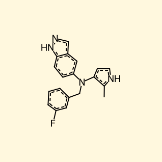 Cc1[nH]ccc1N(Cc1cccc(F)c1)c1ccc2[nH]ncc2c1